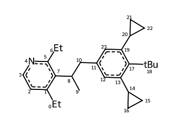 CCc1ccnc(CC)c1C(C)Cc1cc(C2CC2)c(C(C)(C)C)c(C2CC2)c1